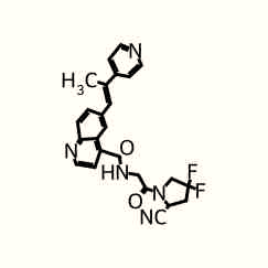 C/C(=C\c1ccc2nccc(C(=O)NCC(=O)N3CC(F)(F)CC3C#N)c2c1)c1ccncc1